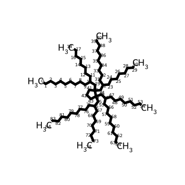 CCCCCCCCCCC(CCCCCCCC)CC1(CC(CCCCCCCC)CCCCCCCCCC)CCCC1(CC(CCCCCCCC)CCCCCCCCCC)CC(CCCCCCCC)CCCCCCCCCC